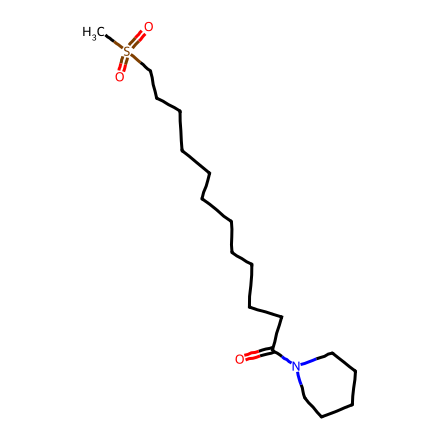 CS(=O)(=O)CCCCCCCCCCCC(=O)N1CCCCC1